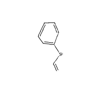 C=C[Si]c1ccccc1